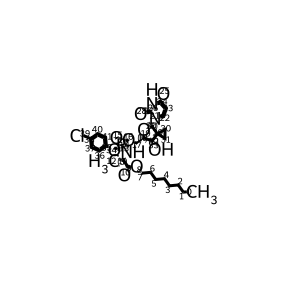 CCCCCCCCOC(=O)[C@H](C)NP(=O)(OC[C@H]1O[C@@H](n2ccc(=O)[nH]c2=O)C2(CC2)[C@@H]1O)Oc1ccc(Cl)cc1